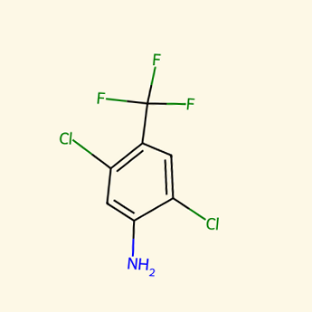 Nc1cc(Cl)c(C(F)(F)F)cc1Cl